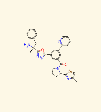 Cc1csc([C@H]2CCCN2C(=O)c2cc(-c3ccccn3)cc(-c3nnc([C@](C)(N)Cc4ccccc4)o3)c2)n1